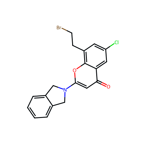 O=c1cc(N2Cc3ccccc3C2)oc2c(CCBr)cc(Cl)cc12